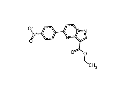 CCOC(=O)c1cnn2ccc(-c3ccc([N+](=O)[O-])cc3)nc12